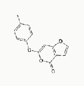 Cc1ccc(Oc2cc3occc3c(=O)o2)cc1